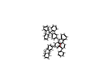 c1ccc(-c2ccc(-c3ccccc3N(c3ccc(C4(c5ccccc5)c5ccccc5-c5ccccc54)cc3)c3cccc(-c4ccc5oc6ccccc6c5c4)c3)cc2)cc1